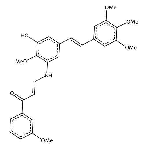 COc1cccc(C(=O)C=CNc2cc(C=Cc3cc(OC)c(OC)c(OC)c3)cc(O)c2OC)c1